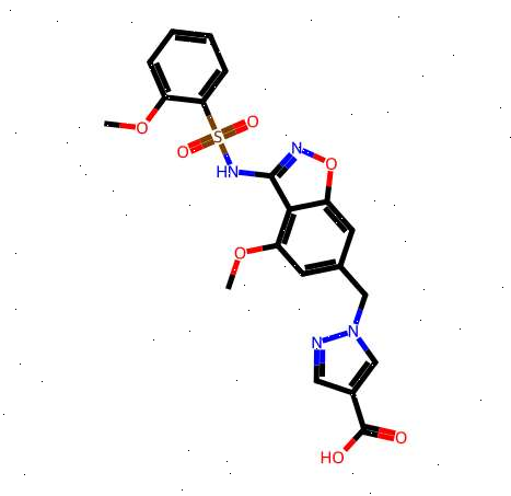 COc1ccccc1S(=O)(=O)Nc1noc2cc(Cn3cc(C(=O)O)cn3)cc(OC)c12